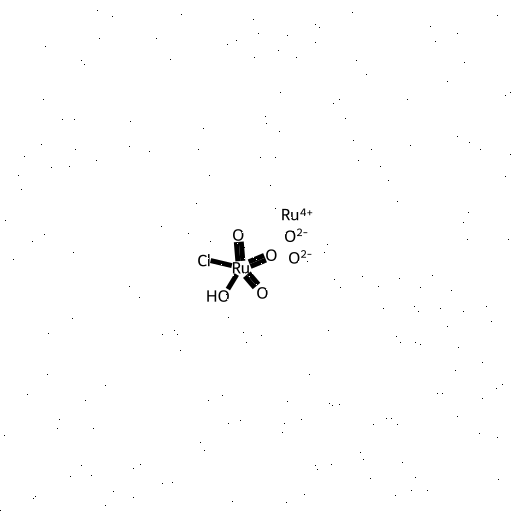 [O-2].[O-2].[O]=[Ru](=[O])(=[O])([OH])[Cl].[Ru+4]